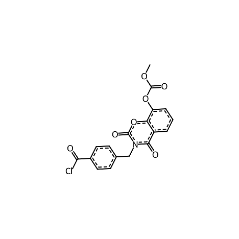 COC(=O)Oc1cccc2c(=O)n(Cc3ccc(C(=O)Cl)cc3)c(=O)oc12